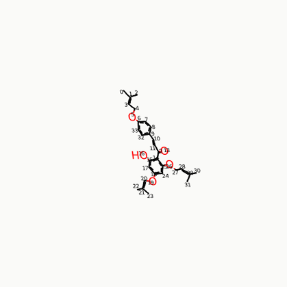 CC(C)=CCOc1ccc(/C=C/C(=O)c2c(O)cc(OC=C(C)C)cc2OCC=C(C)C)cc1